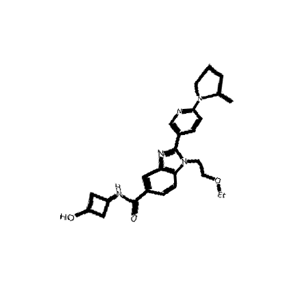 CCOCCn1c(-c2ccc(N3CCCC3C)nc2)nc2cc(C(=O)NC3CC(O)C3)ccc21